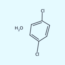 Clc1ccc(Cl)cc1.O